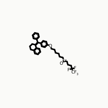 [O-][S+](CCCCCCOc1ccc(/C(=C2/CCCc3ccccc32)c2ccccc2)cc1)CCCC(F)(F)C(F)(F)F